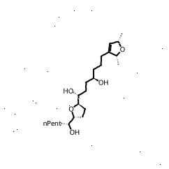 CCCCC[C@@H](O)[C@H]1CC[C@H]([C@H](O)CC[C@H](O)CCCC2=C[C@H](C)O[C@@H]2C)O1